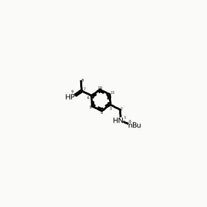 CCCCNCc1ccc(C(C)=P)cc1